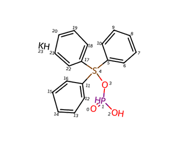 O=[PH](O)OS(c1ccccc1)(c1ccccc1)c1ccccc1.[KH]